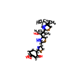 CC(C)(C1=N[C@@](C)(C(=O)O)CS1)[C@H](O)C1CSC([C@H]2CSC(c3ccc(O)cc3O)=N2)N1